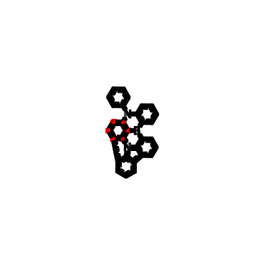 c1ccc(N(c2ccccc2)c2ccccc2B2c3cccc4c5cccc6c7cccc2c7n(c34)c56)cc1